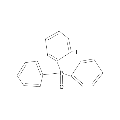 O=P(c1ccccc1)(c1ccccc1)c1ccccc1I